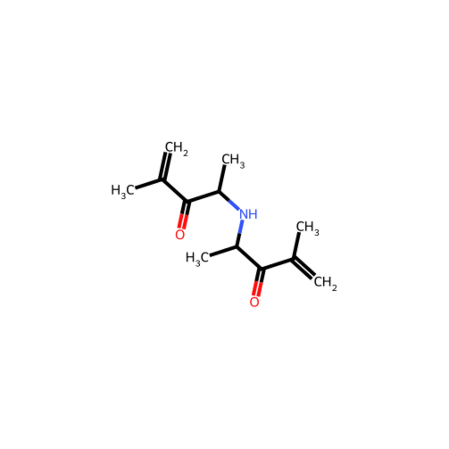 C=C(C)C(=O)C(C)NC(C)C(=O)C(=C)C